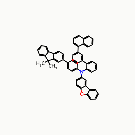 CC1(C)c2ccccc2-c2ccc(-c3ccc(N(c4ccc5oc6ccccc6c5c4)c4ccccc4-c4cccc(-c5cccc6ccccc56)c4)cc3)cc21